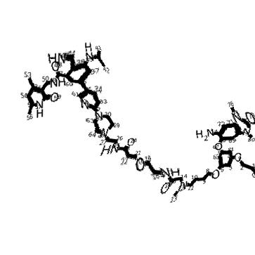 CCCOc1cc(OCCCCN(C)CC(=O)NCCOCCC(=O)NCCN2CCN(c3ccc(-c4cc(NC(C)C)c(C=N)c(C(=O)NCc5c(C)cc(C)[nH]c5=O)c4)cn3)CC2)cc(Oc2cc3c(cc2N)n(C)c(=O)n3C)c1